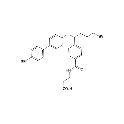 CC(C)CCCC(Oc1ccc(-c2ccc(C(C)(C)C)cc2)cc1)c1ccc(C(=O)NCCC(=O)O)cc1